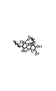 [N-]=[N+]=N[C@H]1[C@@H](O)[C@@H](CO)O[C@@H](S[C@@H]2O[C@H](CO)[C@H](O)[C@H](N=[N+]=[N-])[C@H]2O)[C@@H]1O